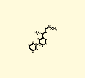 C/N=C\C=C(/C)c1cccc(-c2ccncc2)c1